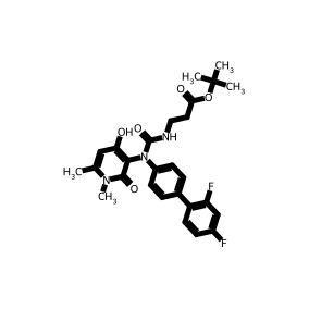 Cc1cc(O)c(N(C(=O)NCCC(=O)OC(C)(C)C)c2ccc(-c3ccc(F)cc3F)cc2)c(=O)n1C